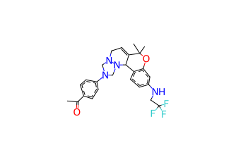 CC(=O)c1ccc(N2CN3CC=C4C(c5ccc(NCC(F)(F)F)cc5OC4(C)C)N3C2)cc1